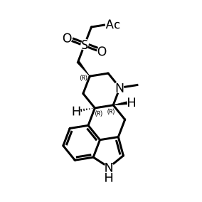 CC(=O)CS(=O)(=O)C[C@@H]1C[C@@H]2c3cccc4[nH]cc(c34)C[C@H]2N(C)C1